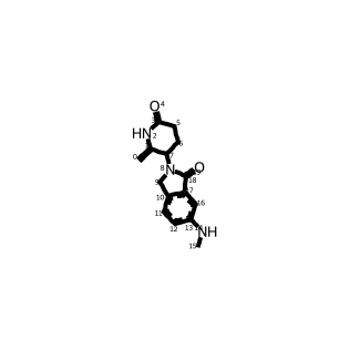 C=C1NC(=O)CCC1N1Cc2ccc(NC)cc2C1=O